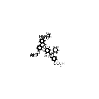 Cl.Cl.O=C(O)c1ccc2c(c1)nc(-c1ccc(OCc3cc(NC4=NCCO4)ccc3-c3ccc(Cl)cc3)cc1F)n2C1CCCCC1